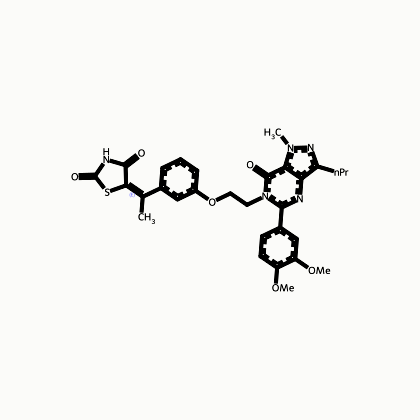 CCCc1nn(C)c2c(=O)n(CCOc3cccc(/C(C)=C4/SC(=O)NC4=O)c3)c(-c3ccc(OC)c(OC)c3)nc12